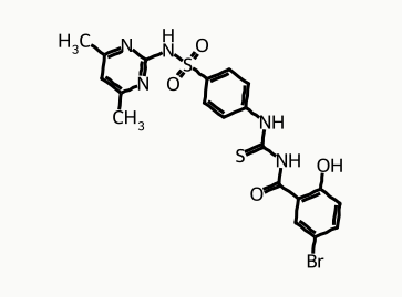 Cc1cc(C)nc(NS(=O)(=O)c2ccc(NC(=S)NC(=O)c3cc(Br)ccc3O)cc2)n1